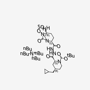 CC(C)(C)OC(=O)N1CC[C@@H](CC2CC2)C[C@H]1C(=O)NNC(=O)[C@@H]1CC[C@@H]2CN1C(=O)N2OS(=O)(=O)O.CCCC[N+](CCCC)(CCCC)CCCC